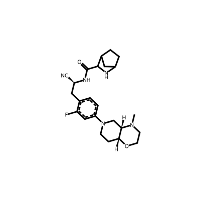 CN1CCO[C@@H]2CCN(c3ccc(C[C@@H](C#N)NC(=O)C4NC5CCC4C5)c(F)c3)C[C@@H]21